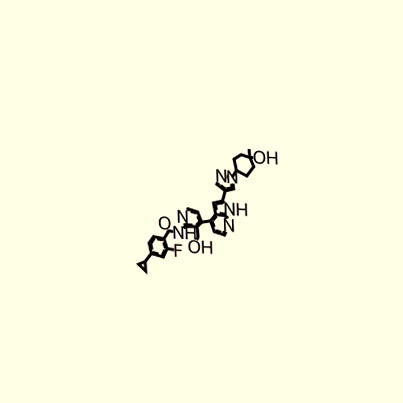 CC1(O)CCC(n2cc(-c3cc4c(-c5ccnc(NC(=O)c6ccc(C7CC7)cc6F)c5CO)ccnc4[nH]3)cn2)CC1